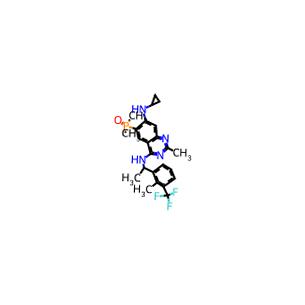 Cc1nc(NC(C)c2cccc(C(F)(F)F)c2C)c2cc(P(C)(C)=O)c(NC3CC3)cc2n1